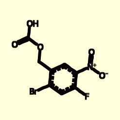 O=C(O)OCc1cc([N+](=O)[O-])c(F)cc1Br